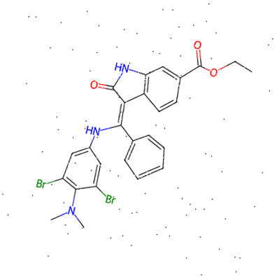 CCOC(=O)c1ccc2c(c1)NC(=O)/C2=C(\Nc1cc(Br)c(N(C)C)c(Br)c1)c1ccccc1